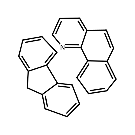 c1ccc2c(c1)Cc1ccccc1-2.c1ccc2c(c1)ccc1cccnc12